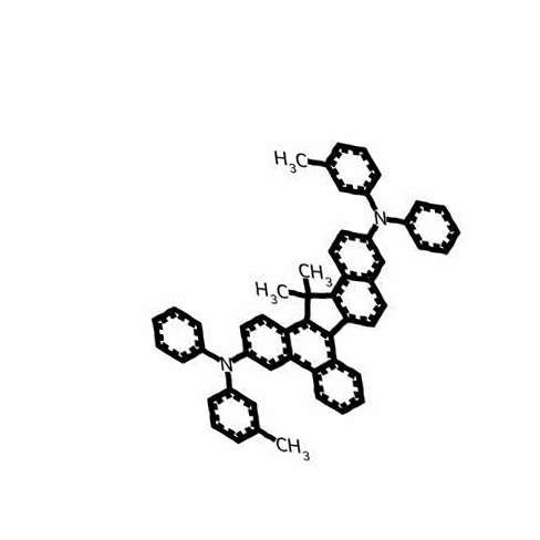 Cc1cccc(N(c2ccccc2)c2ccc3c4c(ccc3c2)-c2c(c3ccc(N(c5ccccc5)c5cccc(C)c5)cc3c3ccccc23)C4(C)C)c1